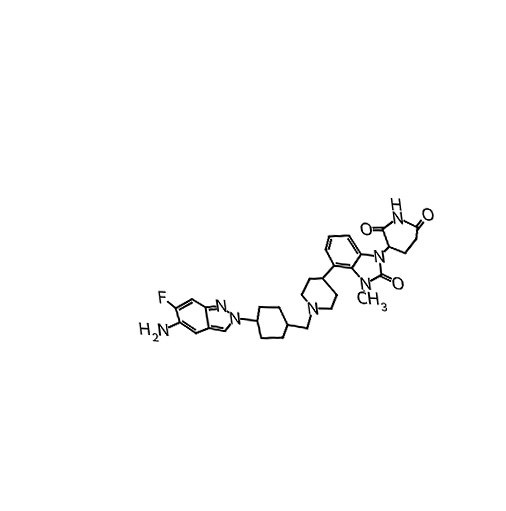 Cn1c(=O)n(C2CCC(=O)NC2=O)c2cccc(C3CCN(CC4CCC(n5cc6cc(N)c(F)cc6n5)CC4)CC3)c21